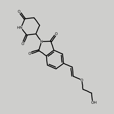 O=C1CCC(N2C(=O)c3ccc(/C=C/OCCO)cc3C2=O)C(=O)N1